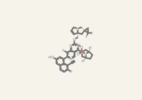 C#Cc1c(F)ccc2cc(O)cc(-c3ncc4c(N5C[C@H]6CC[C@@H](C5)N6C(=O)OC(C)C)nc(OC[C@]56C=CCN5C[C@@]5(CC5(F)F)C6)nc4c3F)c12